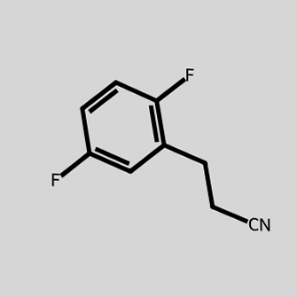 N#CCCc1cc(F)ccc1F